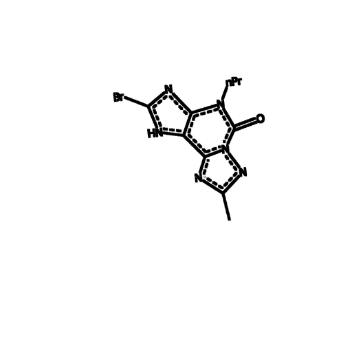 CCCn1c(=O)n2nc(C)nc2c2[nH]c(Br)nc21